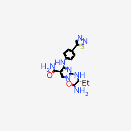 CC[C@@H](Nc1ncc(C(N)=O)c(Nc2ccc(-c3cnns3)cc2)n1)C(N)=O